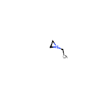 N#CCN1CC1